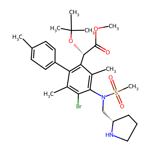 COC(=O)[C@@H](OC(C)(C)C)c1c(C)c(N(C[C@@H]2CCCN2)S(C)(=O)=O)c(Br)c(C)c1-c1ccc(C)cc1